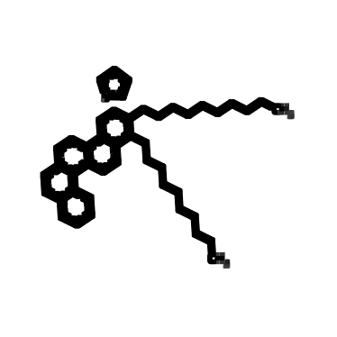 CCCCCCCCCCc1ccc2c(ccc3c2ccc2ccc4ccccc4c23)c1CCCCCCCCCC.c1ccsc1